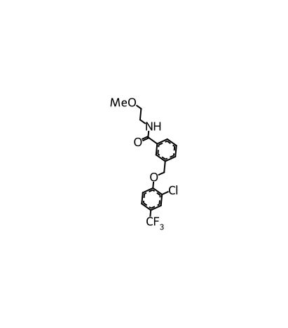 COCCNC(=O)c1cccc(COc2ccc(C(F)(F)F)cc2Cl)c1